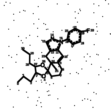 CCCC1OC2(CCCC3=Cc4c(cnn4-c4ccc(F)cc4)CC32C)OC1CCC